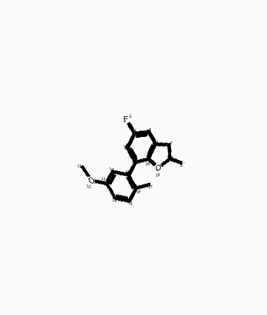 [CH2]C1Cc2cc(F)cc(-c3cc(OC)ccc3C)c2O1